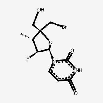 C[C@H]1[C@H](F)[C@H](n2ccc(=O)[nH]c2=O)O[C@@]1(CO)CBr